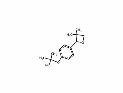 CCCC(C)(C)Oc1ccc(C2OCC2(C)C)cc1